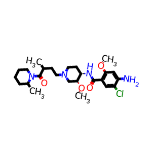 COc1cc(N)c(Cl)cc1C(=O)N[C@H]1CCN(CCC(C)C(=O)N2CCCCC2C)C[C@H]1OC